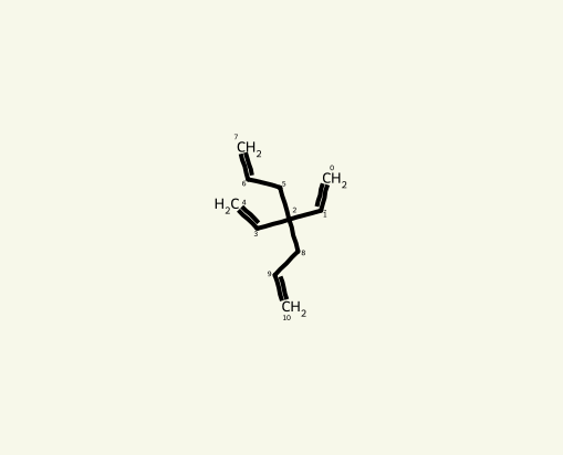 C=[C]C(C=C)(CC=C)CC=C